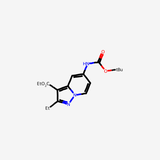 CCOC(=O)c1c(CC)nn2ccc(NC(=O)OC(C)(C)C)cc12